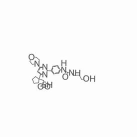 O=C(NCCCO)Nc1ccc(-c2nc(N3CCOCC3)cc(C3(C[SH](=O)=O)CCCC3)n2)cc1